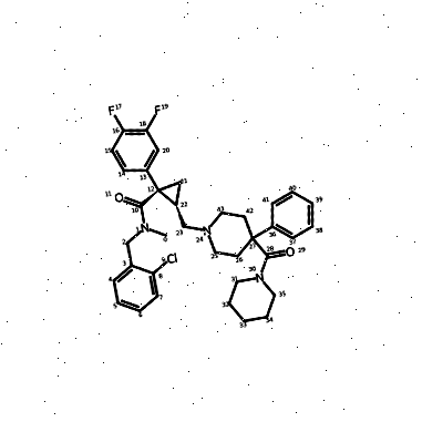 CN(Cc1ccccc1Cl)C(=O)[C@@]1(c2ccc(F)c(F)c2)C[C@H]1CN1CCC(C(=O)N2CCCCC2)(c2ccccc2)CC1